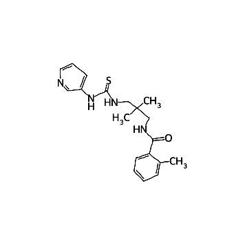 Cc1ccccc1C(=O)NCC(C)(C)CNC(=S)Nc1cccnc1